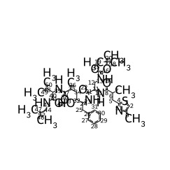 Cc1csc(CC(C)C(=O)NC(CNC(=O)OC(C)(C)C)C(=O)NC(Cc2ccccc2)C(O)CC(C)C(=O)NC(C(=O)NCC(C)C)C(C)C)n1